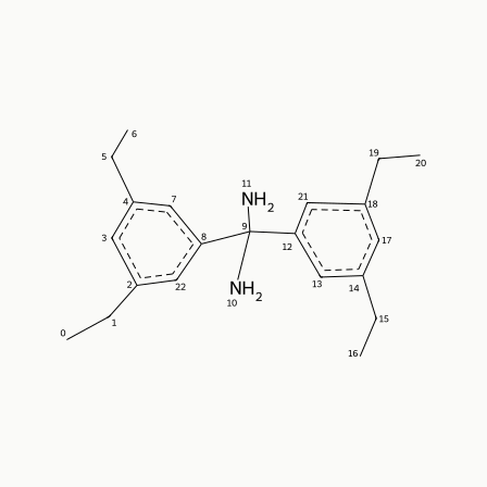 CCc1cc(CC)cc(C(N)(N)c2cc(CC)cc(CC)c2)c1